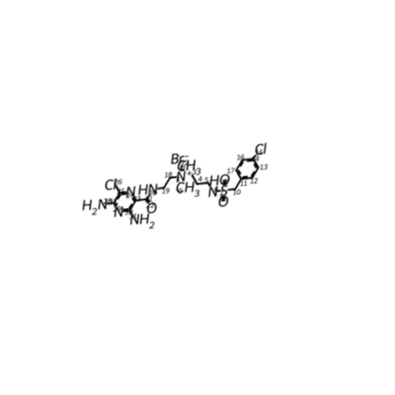 C[N+](C)(CCCNS(=O)(=O)Cc1ccc(Cl)cc1)CCNC(=O)c1nc(Cl)c(N)nc1N.[Br-]